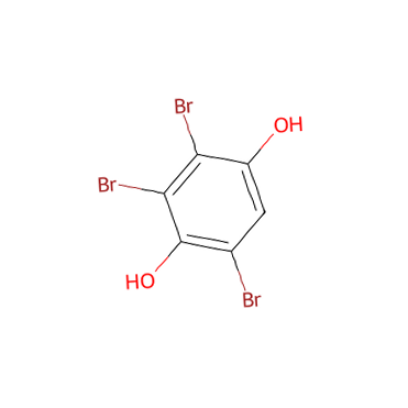 Oc1cc(Br)c(O)c(Br)c1Br